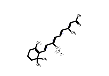 CC1=C(/C=C/C(C)=C/C=C/C(C)=C/C(=O)O)C(C)(C)CCC1.O.[Zn]